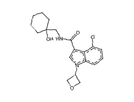 O=C(NCC1(O)CCCCC1)c1cn(C2COC2)c2cccc(Cl)c12